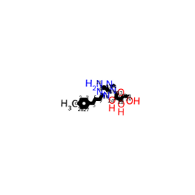 Cc1ccc(CCCc2nc(N)c3ncn(C4OC(CO)[C@@H](O)[C@H]4O)c3n2)cc1